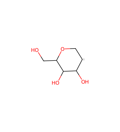 OCC1OC[C]C(O)C1O